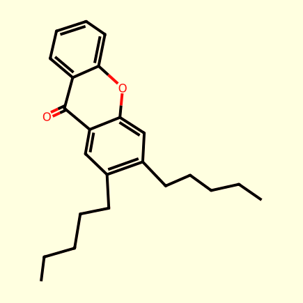 CCCCCc1cc2oc3ccccc3c(=O)c2cc1CCCCC